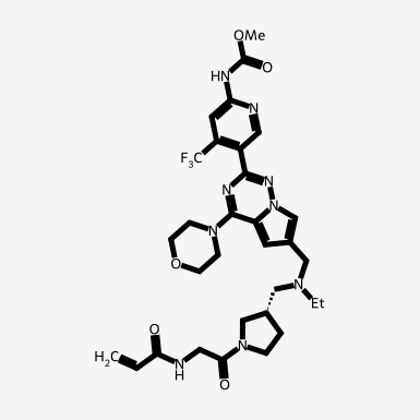 C=CC(=O)NCC(=O)N1CC[C@@H](CN(CC)Cc2cc3c(N4CCOCC4)nc(-c4cnc(NC(=O)OC)cc4C(F)(F)F)nn3c2)C1